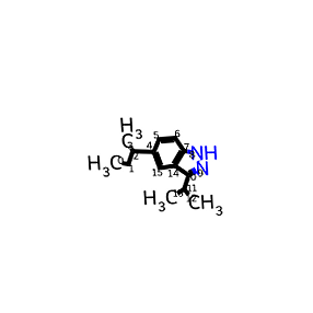 CCC(C)c1ccc2[nH]nc(C(C)C)c2c1